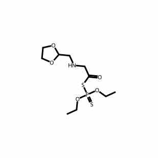 CCOP(=S)(OCC)SC(=O)CNCC1OCCO1